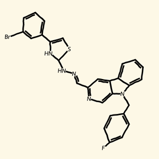 Fc1ccc(Cn2c3ccccc3c3cc(C=NNC4NC(c5cccc(Br)c5)=CS4)ncc32)cc1